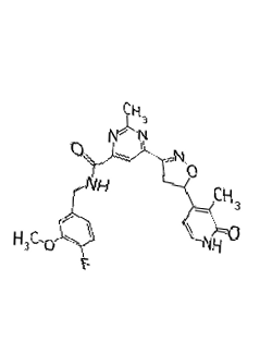 COc1cc(CNC(=O)c2cc(C3=NOC(c4cc[nH]c(=O)c4C)C3)nc(C)n2)ccc1F